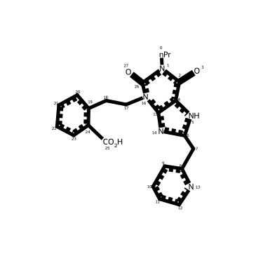 CCCn1c(=O)c2[nH]c(Cc3ccccn3)nc2n(CCc2ccccc2C(=O)O)c1=O